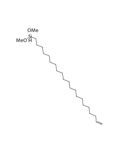 C=CCCCCCCCCCCCCCCCCCCC[SiH](OC)OC